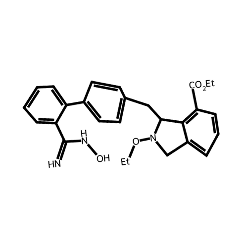 CCOC(=O)c1cccc2c1C(Cc1ccc(-c3ccccc3C(=N)NO)cc1)N(OCC)C2